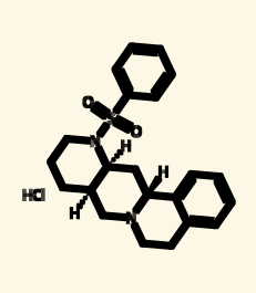 Cl.O=S(=O)(c1ccccc1)N1CCC[C@@H]2CN3CCc4ccccc4[C@H]3C[C@@H]21